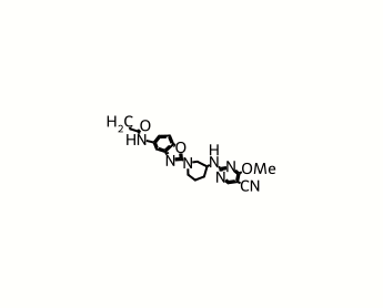 C=CC(=O)Nc1ccc2oc(N3CCCC(Nc4ncc(C#N)c(OC)n4)C3)nc2c1